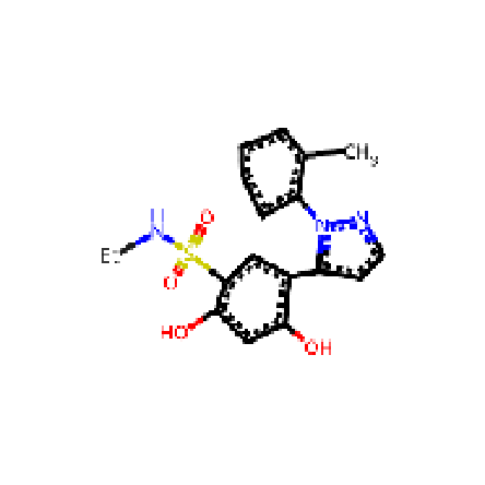 CCNS(=O)(=O)c1cc(-c2ccnn2-c2ccccc2C)c(O)cc1O